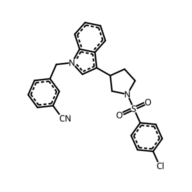 N#Cc1cccc(Cn2cc(C3CCN(S(=O)(=O)c4ccc(Cl)cc4)C3)c3ccccc32)c1